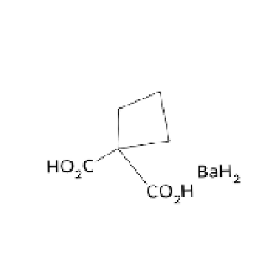 O=C(O)C1(C(=O)O)CCC1.[BaH2]